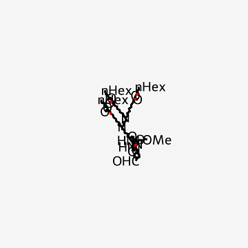 CCCCCC/C=C/COC(=O)CCCCCCCCN(CCCCCCCCC(=O)OC/C=C/CCCCCC)CCCN(CCCCCCCCC(=O)OC/C=C/CCCCCC)CCCCCC(=O)Nc1nc(OCCOC)nc2c1[nH]c(=O)n2Cc1ccc(C=O)cc1